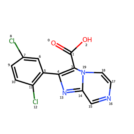 O=C(O)c1c(-c2cc(Cl)ccc2Cl)nc2cnccn12